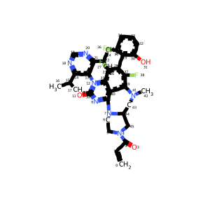 C=CC(=O)N1CCN2c3nc(=O)n(-c4c(C(C)C)ncnc4C(C)C)c4c(F)c(-c5c(O)cccc5F)c(F)c(c34)N(C)CC2C1